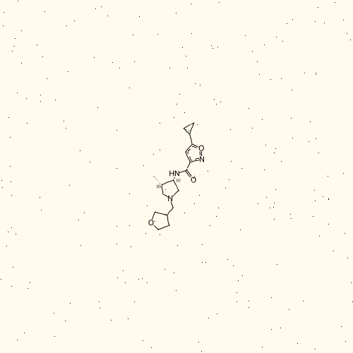 C[C@H]1CN(CC2CCOC2)C[C@H]1NC(=O)c1cc(C2CC2)on1